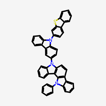 c1ccc(-n2c3ccccc3c3ccc4c(c5ccccc5n4-c4ccc5c(c4)c4ccccc4n5-c4ccc5c(c4)sc4ccccc45)c32)cc1